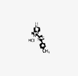 Cc1ccc(-c2nc(-c3nnc4n3CCNC4)cs2)cc1.Cl